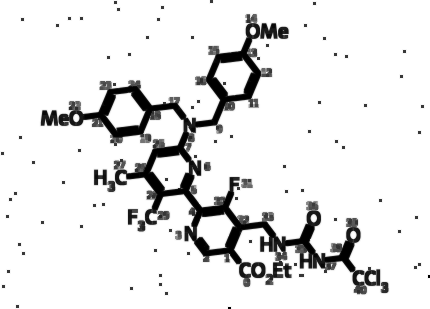 CCOC(=O)c1cnc(-c2nc(N(Cc3ccc(OC)cc3)Cc3ccc(OC)cc3)cc(C)c2C(F)(F)F)c(F)c1CNC(=O)NC(=O)C(Cl)(Cl)Cl